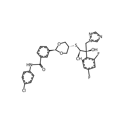 C[C@@H](S[C@H]1CO[C@H](c2cccc(C(=O)Nc3ccc(Cl)cc3)c2)OC1)[C@](O)(Cn1cncn1)c1ccc(F)cc1F